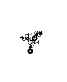 CCOC(=O)CNCC1(NC(=O)OCc2ccccc2)CCN(C(=O)OC(C)(C)C)CC1